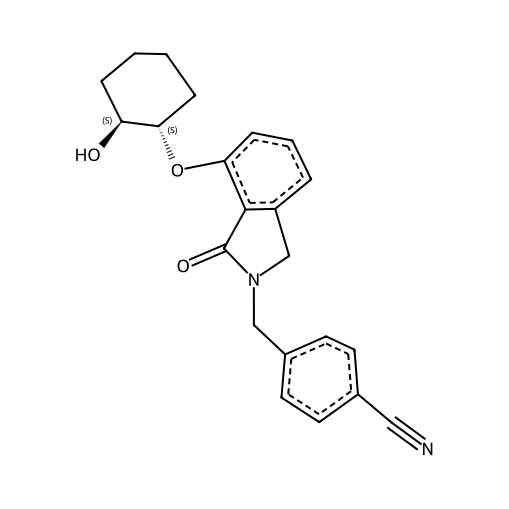 N#Cc1ccc(CN2Cc3cccc(O[C@H]4CCCC[C@@H]4O)c3C2=O)cc1